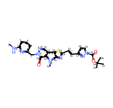 CNc1cccc(Cn2ncc3c4sc(/C=C/c5ccn(C(=O)OC(C)(C)C)n5)nc4n(C)c3c2=O)n1